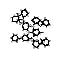 Cc1cc2c3c(c1)N(c1cccc4c1sc1ccccc14)c1cc(N4c5ccccc5C5(C)CCCCC45C)ccc1B3c1cc(-c3ccccc3)ccc1N2c1cccc2c1oc1ccccc12